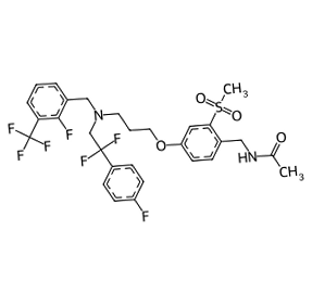 CC(=O)NCc1ccc(OCCCN(Cc2cccc(C(F)(F)F)c2F)CC(F)(F)c2ccc(F)cc2)cc1S(C)(=O)=O